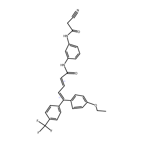 CCOc1ccc(/C(=C\C=C\C(=O)Nc2cccc(NC(=O)CC#N)c2)c2ccc(C(F)(F)F)cc2)cc1